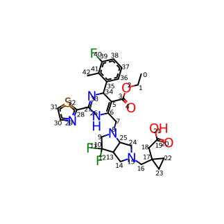 CCOC(=O)C1=C(CN2CC(F)(F)C3CN(CC4(CC(=O)O)CC4)CC32)NC(c2nccs2)=NC1c1cccc(F)c1C